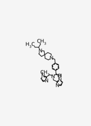 CCC(CC)N1CCC2(CCN(Cc3ccc(C(=O)N(Cc4ncc[nH]4)Cc4nccn4C)cc3)CC2)C1